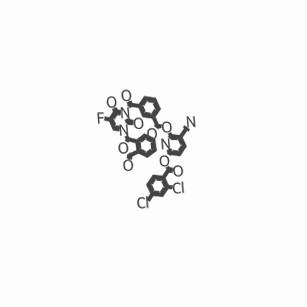 N#Cc1ccc(OC(=O)c2ccc(Cl)cc2Cl)nc1OC(=O)c1cccc(C(=O)n2c(=O)c(F)cn(C3OC(=O)c4ccccc43)c2=O)c1